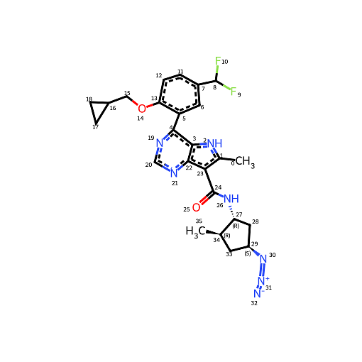 Cc1[nH]c2c(-c3cc(C(F)F)ccc3OCC3CC3)ncnc2c1C(=O)N[C@@H]1C[C@@H](N=[N+]=[N-])C[C@H]1C